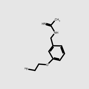 CC(=N)NCc1cccc(OCC[18F])c1